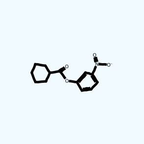 O=C(Oc1cccc([N+](=O)[O-])c1)C1CCCCC1